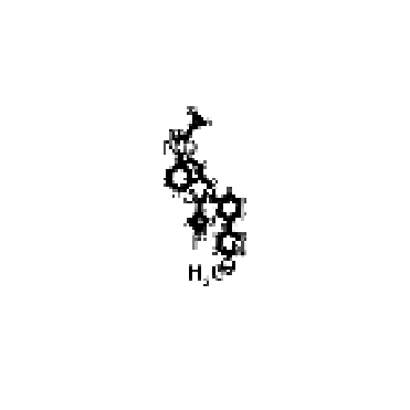 COc1ccc(-c2cccc(N(CC3CCC4(c5nnc(C6CC6)o5)CCCC3C4)C(=O)C34CC(F)(C3)C4)c2)cn1